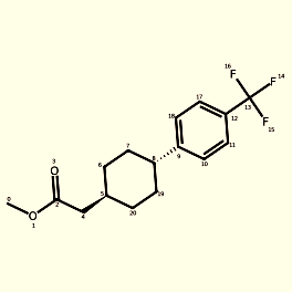 COC(=O)C[C@H]1CC[C@H](c2ccc(C(F)(F)F)cc2)CC1